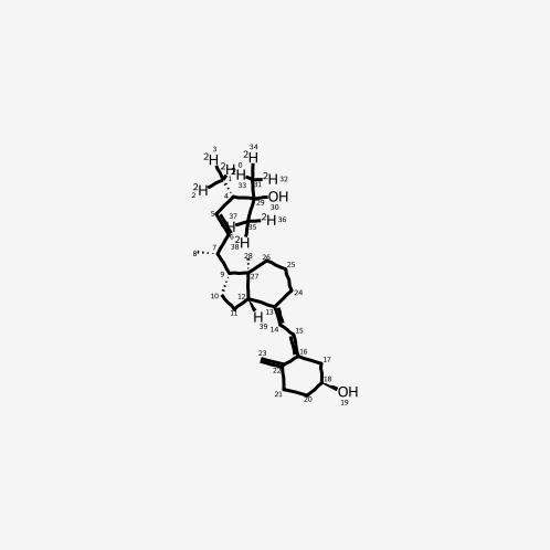 [2H]C([2H])([2H])[C@@H](/C=C/[C@@H](C)[C@H]1CC[C@H]2/C(=C/C=C3/C[C@@H](O)CCC3=C)CCC[C@]12C)C(O)(C([2H])([2H])[2H])C([2H])([2H])[2H]